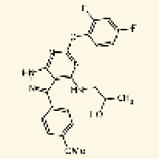 COc1ccc(-c2n[nH]c3nc(Oc4ccc(F)cc4F)nc(NCC(C)O)c23)cc1